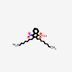 CCCCCCCCc1c(CCCCCCCC)c(S(=O)(=O)O)c2ccccc2c1[N+](=O)[O-]